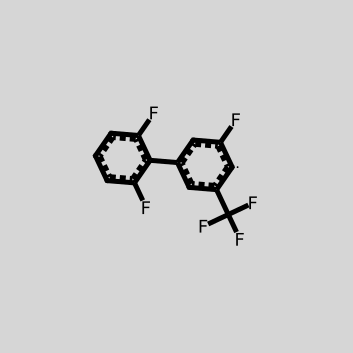 Fc1[c]c(C(F)(F)F)cc(-c2c(F)cccc2F)c1